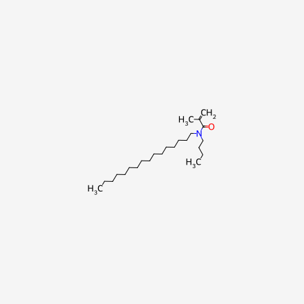 C=C(C)C(=O)N(CCCC)CCCCCCCCCCCCCCCC